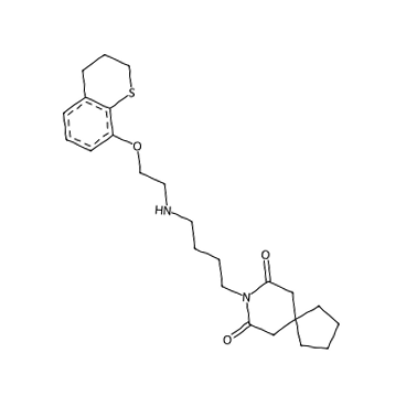 O=C1CC2(CCCC2)CC(=O)N1CCCCNCCOc1cccc2c1SCCC2